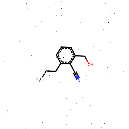 CCCc1cccc([CH]O)c1C#N